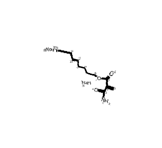 C=C(C(N)=O)C(=O)OCCCCCCCCCCCCCCCC.[NaH]